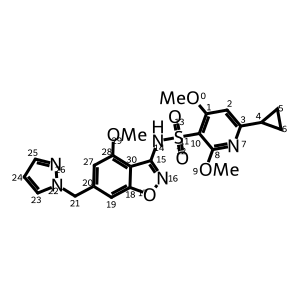 COc1cc(C2CC2)nc(OC)c1S(=O)(=O)Nc1noc2cc(Cn3cccn3)cc(OC)c12